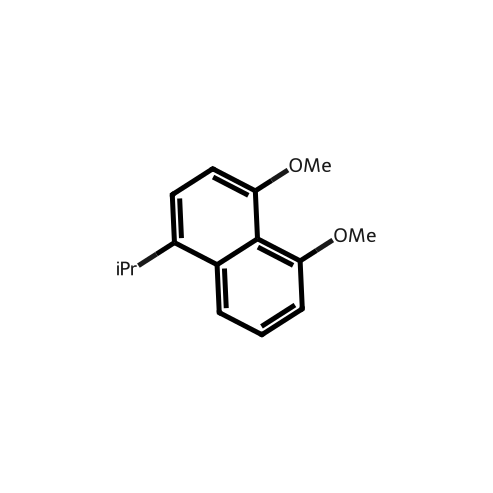 COc1cccc2c(C(C)C)ccc(OC)c12